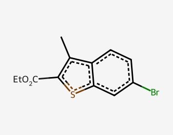 CCOC(=O)c1sc2cc(Br)ccc2c1C